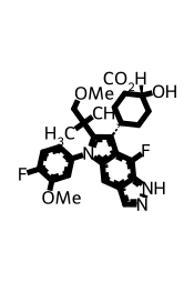 COCC(C)(C)c1c([C@H]2CC[C@](O)(C(=O)O)CC2)c2c(F)c3[nH]ncc3cc2n1-c1ccc(F)c(OC)c1